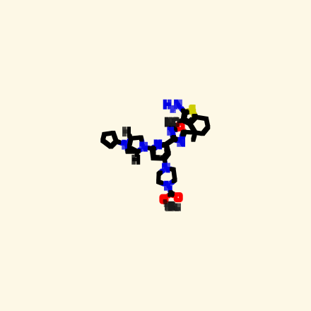 CC(C)(C)OC(=O)N1CCN(c2cc(-c3noc(C4(C)CCCc5sc(N)c(C#N)c54)n3)nc(N3C[C@@H]4C[C@H]3CN4C3CCCC3)c2)CC1